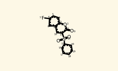 O=c1oc2ccc(F)cc2cc1S(=O)(=O)c1ccccc1